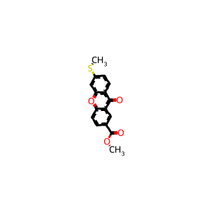 COC(=O)c1ccc2oc3cc(SC)ccc3c(=O)c2c1